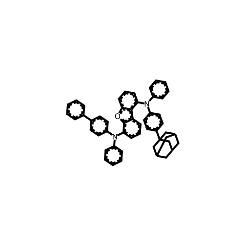 c1ccc(-c2ccc(N(c3ccccc3)c3cccc4c3oc3cccc(N(c5ccccc5)c5ccc(C67CC8CC(CC(C8)C6)C7)cc5)c34)cc2)cc1